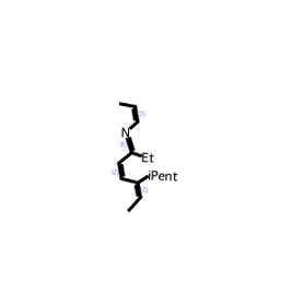 C\C=C/N=C(/C=C\C(=C/C)C(C)CCC)CC